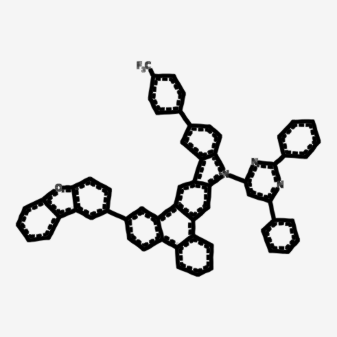 FC(F)(F)c1ccc(-c2ccc3c(c2)c2cc4c5cc(-c6ccc7oc8ccccc8c7c6)ccc5c5ccccc5c4cc2n3-c2cc(-c3ccccc3)nc(-c3ccccc3)n2)cc1